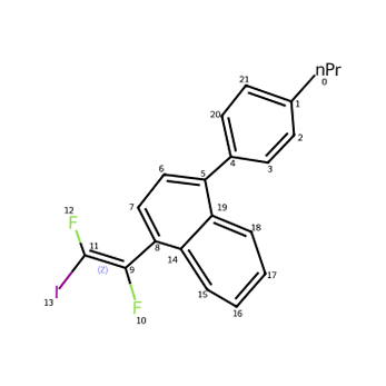 CCCc1ccc(-c2ccc(/C(F)=C(\F)I)c3ccccc23)cc1